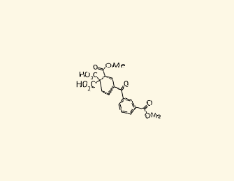 COC(=O)C1=CC(C(=O)c2cccc(C(=O)OC)c2)=CCC1(C(=O)O)C(=O)O